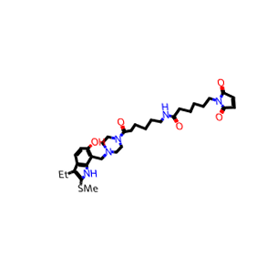 CCc1c(SC)[nH]c2c(CN3CCN(C(=O)CCCCCNC(=O)CCCCCN4C(=O)C=CC4=O)CC3)c(O)ccc12